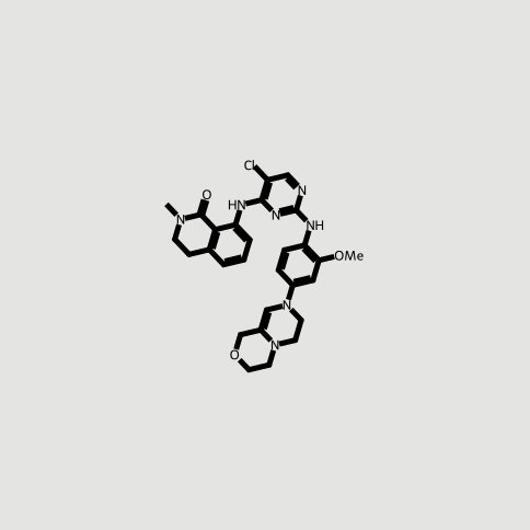 COc1cc(N2C=C3COCCN3CC2)ccc1Nc1ncc(Cl)c(Nc2cccc3c2C(=O)N(C)CC3)n1